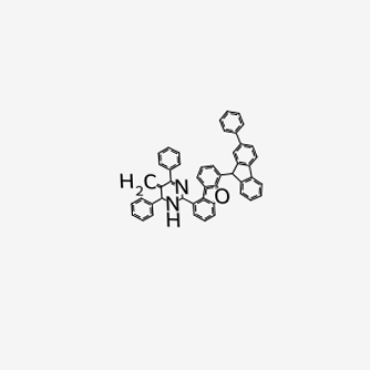 C=C1C(c2ccccc2)=NC(c2cccc3oc4c(C5c6ccccc6-c6ccc(-c7ccccc7)cc65)cccc4c23)NC1c1ccccc1